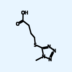 Cn1nnnc1SCCCC(=O)O